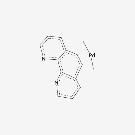 [CH3][Pd][CH3].c1cnc2c(c1)ccc1cccnc12